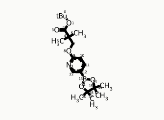 CC(C)(C)OC(=O)C(C)(C)COc1ccc(B2OC(C)(C)C(C)(C)O2)cn1